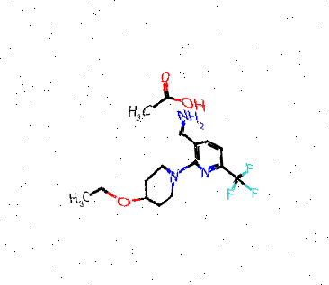 CC(=O)O.CCOC1CCN(c2nc(C(F)(F)F)ccc2CN)CC1